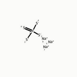 S=P([S-])([S-])[S-].[Na+].[Na+].[Na+]